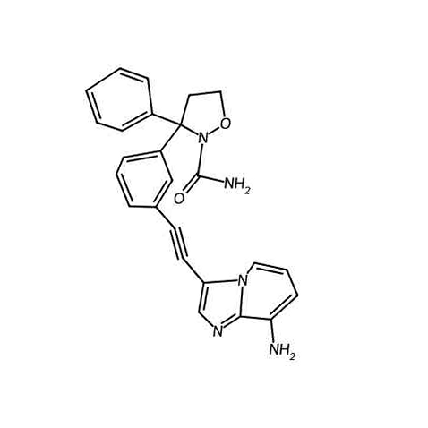 NC(=O)N1OCCC1(c1ccccc1)c1cccc(C#Cc2cnc3c(N)cccn23)c1